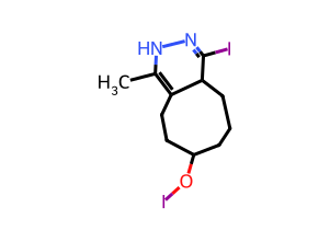 CC1=C2CCC(OI)CCCC2C(I)=NN1